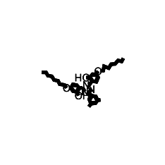 CCCCCCCCOc1ccc(-c2nc(-c3cc(C)cc(C)c3)nc(-c3ccc(OCCCCCCCC)cc3O)n2)c(O)c1